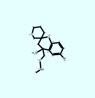 CNOCC1(N)CC2(CCCOC2)Oc2ccc(Br)cc21